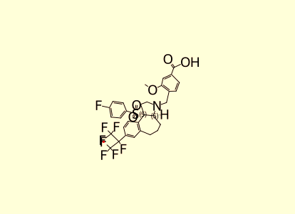 COc1cc(C(=O)O)ccc1CN1CC[C@]2(S(=O)(=O)c3ccc(F)cc3)c3ccc(C(F)(C(F)(F)F)C(F)(F)F)cc3CCC[C@H]12